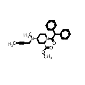 CC#CCN(C)[C@@H]1CCN(C(=O)C(c2ccccc2)c2ccccc2)[C@H](C(=O)OC)C1